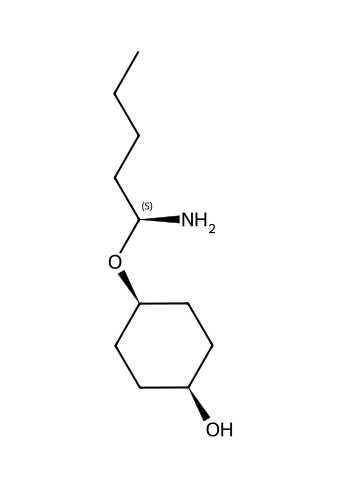 CCCC[C@@H](N)O[C@H]1CC[C@@H](O)CC1